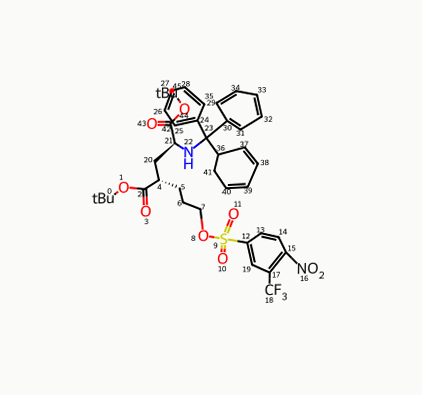 CC(C)(C)OC(=O)[C@@H](CCCOS(=O)(=O)c1ccc([N+](=O)[O-])c(C(F)(F)F)c1)C[C@H](NC(c1ccccc1)(c1ccccc1)C1C=CC=CC1)C(=O)OC(C)(C)C